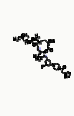 C/C(=C\c1cc(F)cc(N2CCN(C(=O)Cn3cccn3)CC2)c1)[C@H]1OC(=O)C[C@H](O)CC[C@H](C)[C@@H](OC(=O)NCCN(C)C)/C=C/[C@@H]1C